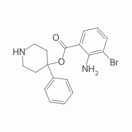 Nc1c(Br)cccc1C(=O)OC1(c2ccccc2)CCNCC1